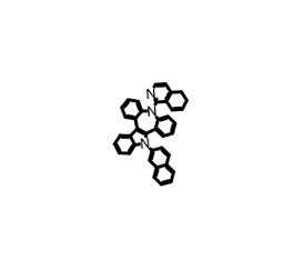 C1=Cc2c(ccnc2N2c3ccccc3-c3c(n(-c4ccc5ccccc5c4)c4ccccc34)-c3ccccc32)CC1